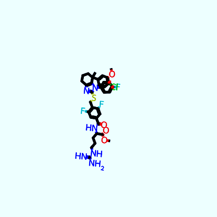 COC(=O)C(CCCNC(=N)N)NC(=O)c1cc(F)c(CSc2nc3c(n2-c2ccc(F)cc2)C(C)(c2ccc(Cl)c(OC)c2)CCC3)c(F)c1